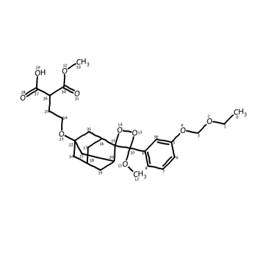 CCOCOc1cccc(C2(OC)OOC23C2CC4CC3CC(OCCC(C(=O)O)C(=O)OC)(C4)C2)c1